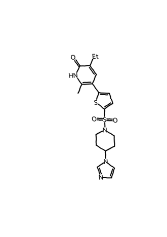 CCc1cc(-c2ccc(S(=O)(=O)N3CCC(n4ccnc4)CC3)s2)c(C)[nH]c1=O